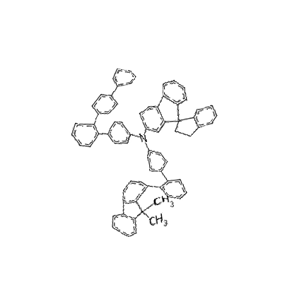 CC1(C)c2ccccc2-c2cccc(-c3ccccc3-c3ccc(N(c4ccc(-c5ccccc5-c5ccc(-c6ccccc6)cc5)cc4)c4ccc5c(c4)C4(CCc6ccccc64)c4ccccc4-5)cc3)c21